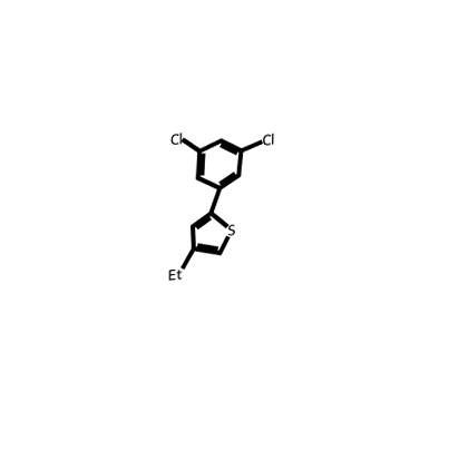 CCc1csc(-c2cc(Cl)cc(Cl)c2)c1